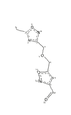 Cc1nc(COCc2nc(C=O)no2)no1